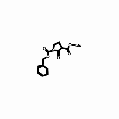 CC(C)(C)OC(=O)C1CCN(C(=O)OCc2ccccc2)C1=O